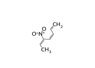 C=C/C=C\C(=C/C)[N+](=O)[O-]